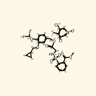 COC(=O)c1ccccc1S(=O)(=O)NCC(=O)O[C@@H](Cc1c(Cl)c[n+]([O-])cc1Cl)c1ccc(OC(F)F)c(OCC2CC2)c1